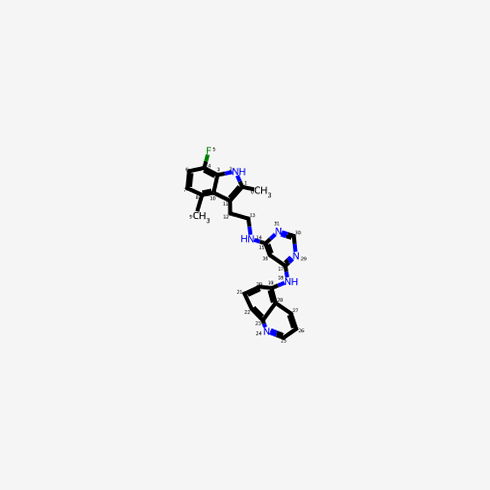 Cc1[nH]c2c(F)ccc(C)c2c1CCNc1cc(Nc2cccc3ncccc23)ncn1